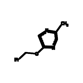 Cc1cnc(OCC(C)C)cn1